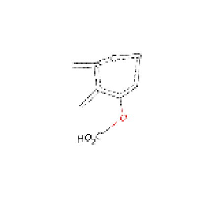 C=c1cccc(OC(=O)O)c1=C